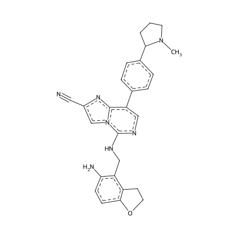 CN1CCCC1c1ccc(-c2cnc(NCc3c(N)ccc4c3CCO4)n3cc(C#N)nc23)cc1